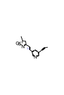 CC#Cc1cncc(/C=C/C2=N[S@+]([O-])C(C)C2)c1